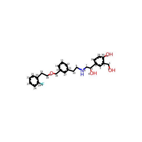 OCc1cc([C@@H](O)CNCCc2cccc(COCCc3ccccc3F)c2)ccc1O